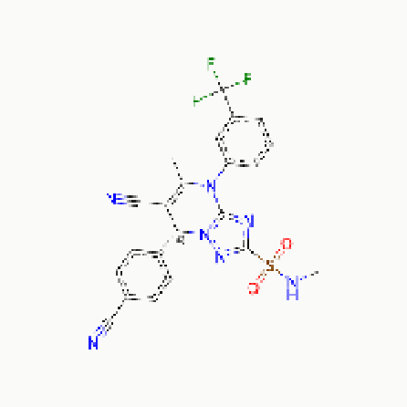 CNS(=O)(=O)c1nc2n(n1)[C@H](c1ccc(C#N)cc1)C(C#N)=C(C)N2c1cccc(C(F)(F)F)c1